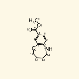 COC(=O)c1ccc2c(c1)OCCCCN2